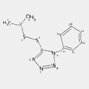 CC(C)SSc1nnnn1-c1ccccc1